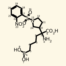 NC(CCCCB(O)O)(C(=O)O)C1CCN(S(=O)(=O)c2ccccc2[N+](=O)[O-])C1